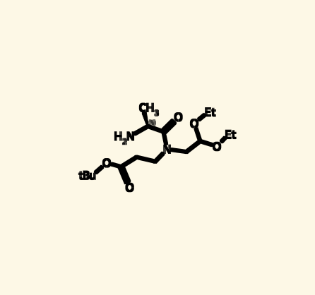 CCOC(CN(CCC(=O)OC(C)(C)C)C(=O)[C@H](C)N)OCC